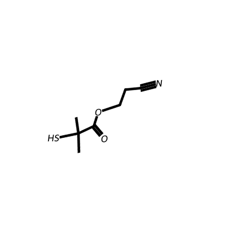 CC(C)(S)C(=O)OCCC#N